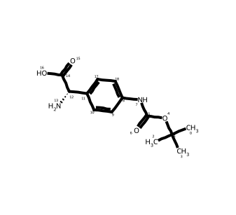 CC(C)(C)OC(=O)Nc1ccc([C@H](N)C(=O)O)cc1